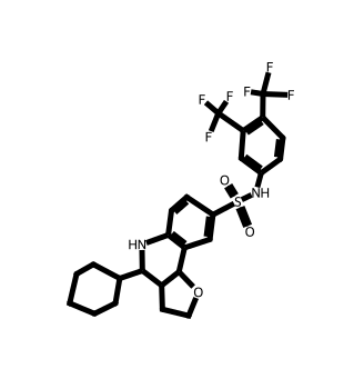 O=S(=O)(Nc1ccc(C(F)(F)F)c(C(F)(F)F)c1)c1ccc2c(c1)C1OCCC1C(C1CCCCC1)N2